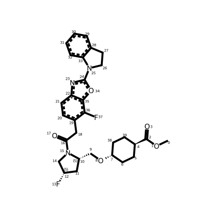 COC(=O)[C@H]1CC[C@H](OC[C@@H]2C[C@H](F)CN2C(=O)Cc2ccc3nc(N4CCc5ccccc54)oc3c2F)CC1